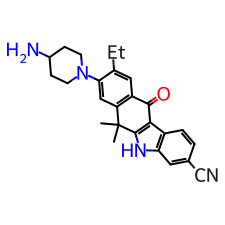 CCc1cc2c(cc1N1CCC(N)CC1)C(C)(C)c1[nH]c3cc(C#N)ccc3c1C2=O